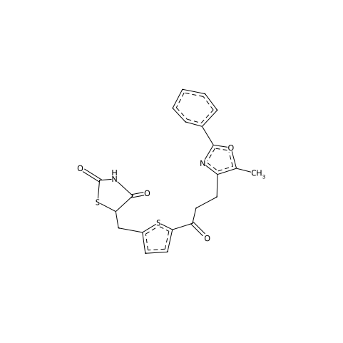 Cc1oc(-c2ccccc2)nc1CCC(=O)c1ccc(CC2SC(=O)NC2=O)s1